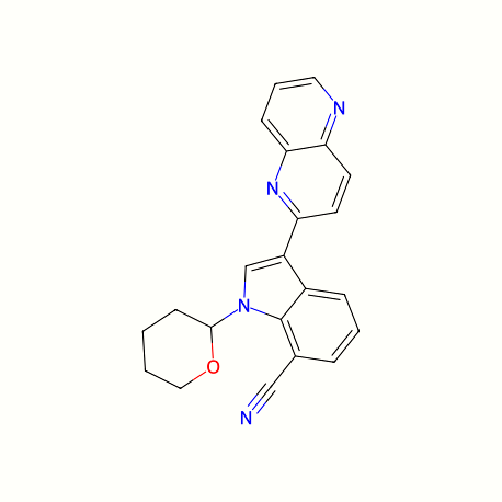 N#Cc1cccc2c(-c3ccc4ncccc4n3)cn(C3CCCCO3)c12